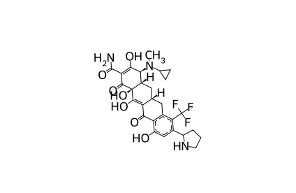 CN(C1CC1)[C@@H]1C(O)=C(C(N)=O)C(=O)[C@@]2(O)C(O)=C3C(=O)c4c(O)cc(C5CCCN5)c(C(F)(F)F)c4C[C@H]3C[C@@H]12